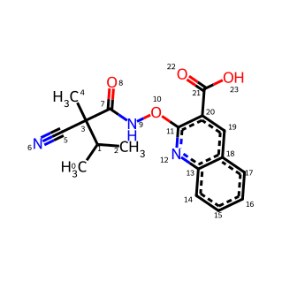 CC(C)C(C)(C#N)C(=O)NOc1nc2ccccc2cc1C(=O)O